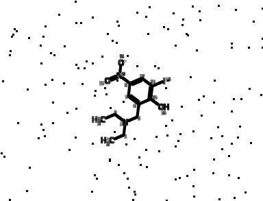 CCN(CC)Cc1cc([N+](=O)[O-])cc(I)c1O